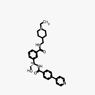 CCN1CCC(CNC(=O)c2cccc([C@@H](CO)NC(=O)c3ccc(-c4ccncc4)cc3)c2)CC1